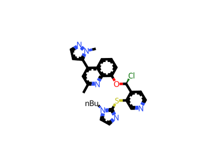 CCCCn1ccnc1Sc1cnccc1[C@H](Cl)Oc1cccc2c(-c3ccnn3C)cc(C)nc12